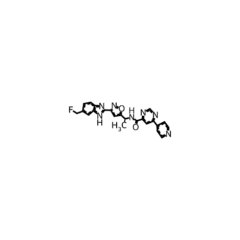 C[C@H](NC(=O)c1cc(-c2ccncc2)ncn1)c1cc(-c2nc3ccc(CF)cc3[nH]2)no1